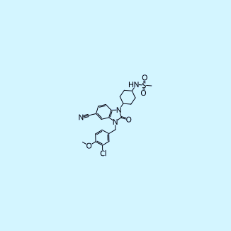 COc1ccc(Cn2c(=O)n(C3CCC(NS(C)(=O)=O)CC3)c3ccc(C#N)cc32)cc1Cl